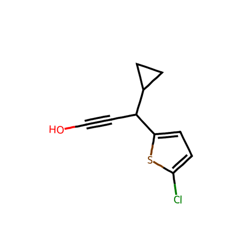 OC#CC(c1ccc(Cl)s1)C1CC1